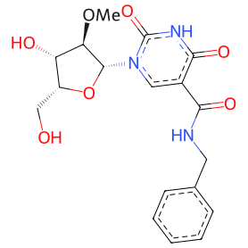 CO[C@@H]1[C@@H](O)[C@@H](CO)O[C@H]1n1cc(C(=O)NCc2ccccc2)c(=O)[nH]c1=O